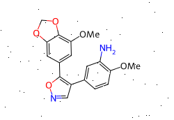 COc1ccc(-c2cnoc2-c2cc(OC)c3c(c2)OCO3)cc1N